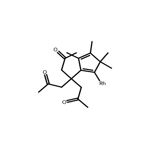 CC(=O)CC(CC(C)=O)(CC(C)=O)C1=[C]([Rh])C(C)(C)C(C)=C1C